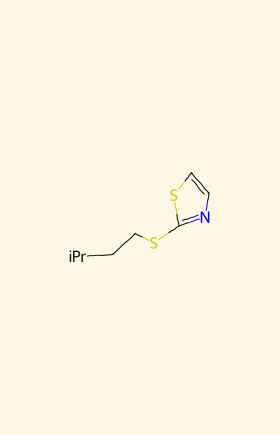 CC(C)CCSc1nccs1